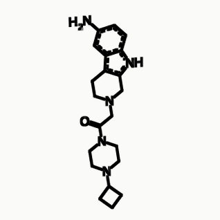 Nc1ccc2[nH]c3c(c2c1)CCN(CC(=O)N1CCN(C2CCC2)CC1)C3